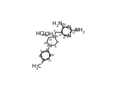 Cc1ccc(N2CCN(Cc3cnc(N)nc3N)CC2)cc1.Cl.Cl